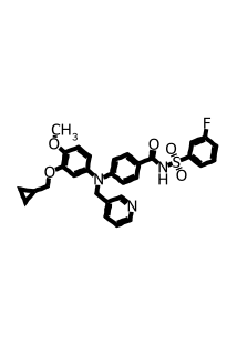 COc1ccc(N(Cc2cccnc2)c2ccc(C(=O)NS(=O)(=O)c3cccc(F)c3)cc2)cc1OCC1CC1